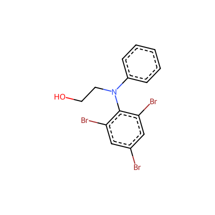 OCCN(c1ccccc1)c1c(Br)cc(Br)cc1Br